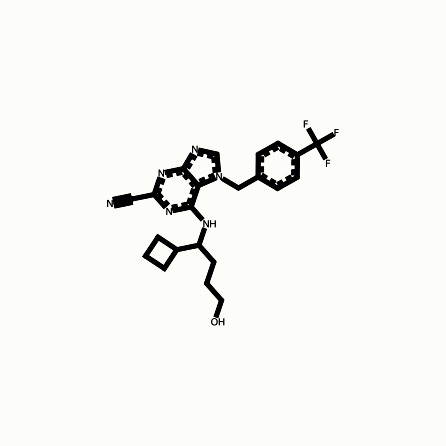 N#Cc1nc(NC(CCCO)C2CCC2)c2c(ncn2Cc2ccc(C(F)(F)F)cc2)n1